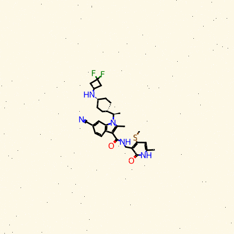 CSc1cc(C)[nH]c(=O)c1CNC(=O)c1c(C)n([C@H](C)[C@H]2CC[C@@H](NC3CC(F)(F)C3)CC2)c2cc(C#N)ccc12